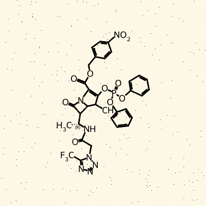 CC1C(OP(=O)(Oc2ccccc2)Oc2ccccc2)=C(C(=O)OCc2ccc([N+](=O)[O-])cc2)N2C(=O)C([C@@H](C)NC(=O)Cn3nnnc3C(F)(F)F)C12